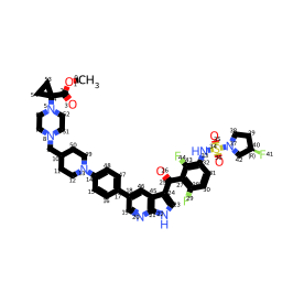 COC(=O)C1(N2CCN(CC3CCN(c4ccc(-c5cnc6[nH]cc(C(=O)c7c(F)ccc(NS(=O)(=O)N8CC[C@@H](F)C8)c7F)c6c5)cc4)CC3)CC2)CC1